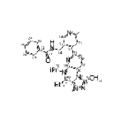 CC[C@@H]1c2nnc(C)n2-c2cnc(-c3ccncc3CNC(=O)c3ccccc3)nc2N1C(C)C